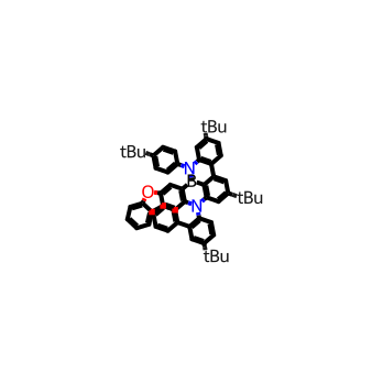 CC(C)(C)c1ccc(N2B3c4cc5oc6ccccc6c5cc4N(c4ccc(C(C)(C)C)cc4-c4ccccc4)c4cc(C(C)(C)C)cc(c43)-c3ccc(C(C)(C)C)cc32)cc1